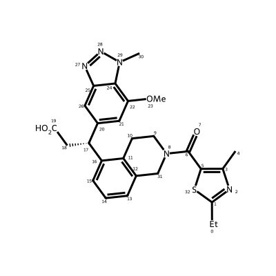 CCc1nc(C)c(C(=O)N2CCc3c(cccc3[C@H](CC(=O)O)c3cc(OC)c4c(c3)nnn4C)C2)s1